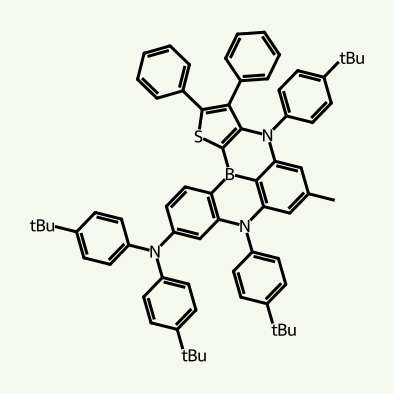 Cc1cc2c3c(c1)N(c1ccc(C(C)(C)C)cc1)c1c(sc(-c4ccccc4)c1-c1ccccc1)B3c1ccc(N(c3ccc(C(C)(C)C)cc3)c3ccc(C(C)(C)C)cc3)cc1N2c1ccc(C(C)(C)C)cc1